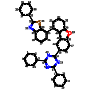 c1ccc(-c2nc(-c3ccccc3)nc(-c3ccc4oc5cccc(-c6cccc7nc(-c8ccccc8)sc67)c5c4c3)n2)cc1